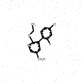 O=C(O)c1cnc(OCC(F)(F)F)c(-c2ccc(Cl)cc2F)c1